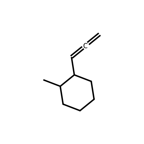 C=C=CC1CCCCC1C